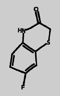 O=C1CSc2cc(F)ccc2N1